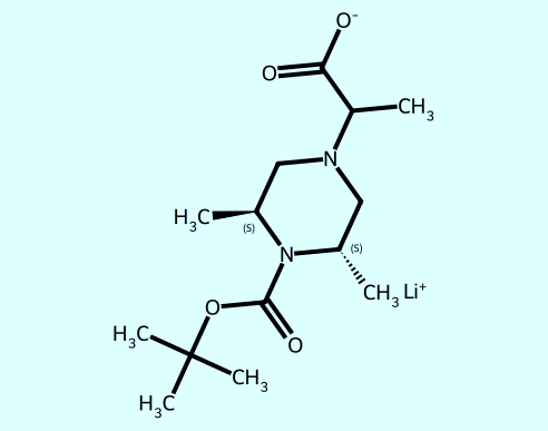 CC(C(=O)[O-])N1C[C@H](C)N(C(=O)OC(C)(C)C)[C@@H](C)C1.[Li+]